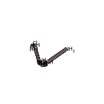 CC(=O)N1c2ccc(-c3ccc(C(=O)NCCOCCOCCOCCOCCOCCOCCOCCOCCNC(=O)c4nc(NC(=O)CCNC(=O)c5cc(NC(=O)c6nc(C(N)CCNCCOCCOCCOCCOCCOCCOCCOCCOCCOCCOCCOCCOCCOCCOCCOCCN)cn6C)cn5C)cn4C)cc3)cc2[C@H](Nc2ccc(Cl)cc2)C[C@@H]1C